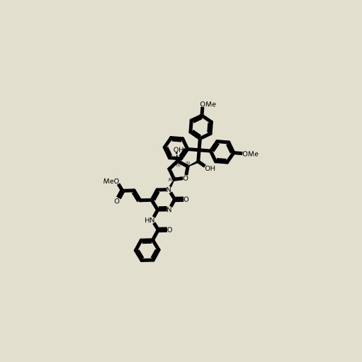 COC(=O)C=Cc1cn([C@H]2C[C@H](O)[C@@H](C(O)C(c3ccccc3)(c3ccc(OC)cc3)c3ccc(OC)cc3)O2)c(=O)nc1NC(=O)c1ccccc1